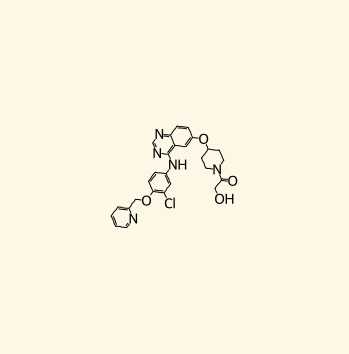 O=C(CO)N1CCC(Oc2ccc3ncnc(Nc4ccc(OCc5ccccn5)c(Cl)c4)c3c2)CC1